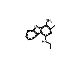 CCNc1cc(C)c(N)c2oc3ccccc3c12